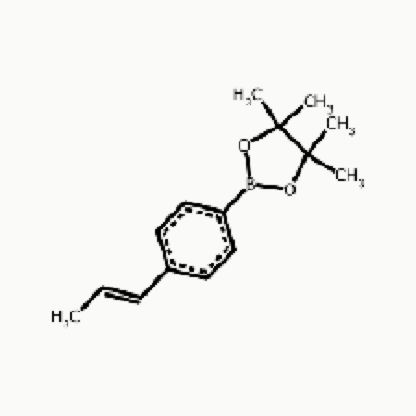 C/C=C/c1ccc(B2OC(C)(C)C(C)(C)O2)cc1